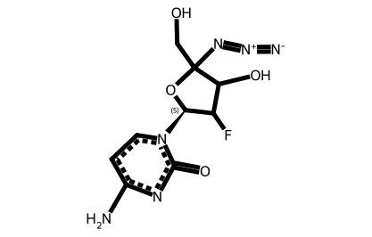 [N-]=[N+]=NC1(CO)O[C@H](n2ccc(N)nc2=O)C(F)C1O